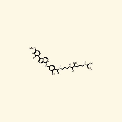 CCc1cc(Nc2nccn3c(-c4ccc(OC)c(F)c4F)cnc23)ccc1C(=O)NCCCNC(=O)C(N)CCCNC(=N)N